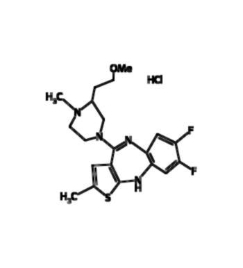 COCCC1CN(C2=Nc3cc(F)c(F)cc3Nc3sc(C)cc32)CCN1C.Cl